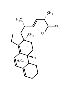 CC(C)[C@@H](C)C=C[C@@H](C)[C@H]1CCC2=C3C=CC4=CCCC[C@]4(C)[C@H]3CC[C@@]21C